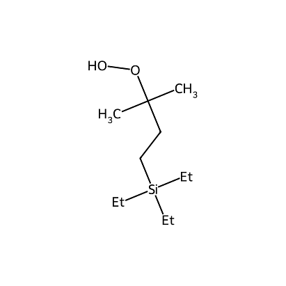 CC[Si](CC)(CC)CCC(C)(C)OO